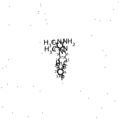 CCCCc1nc2c(N)nc(C)c(C)c2n1CCCCSc1ccc(F)cc1F